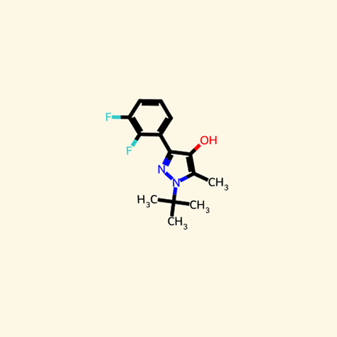 Cc1c(O)c(-c2cccc(F)c2F)nn1C(C)(C)C